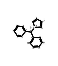 C1=C[SiH](C(c2ccccc2)c2ccccc2)C=C1